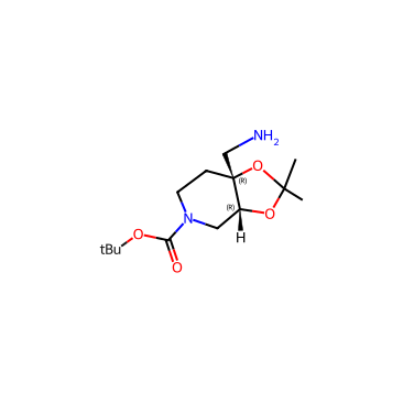 CC(C)(C)OC(=O)N1CC[C@]2(CN)OC(C)(C)O[C@@H]2C1